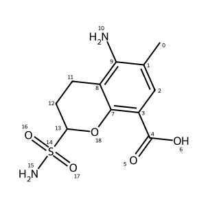 Cc1cc(C(=O)O)c2c(c1N)CCC(S(N)(=O)=O)O2